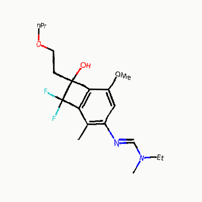 CCCOCCC1(O)c2c(OC)cc(/N=C/N(C)CC)c(C)c2C1(F)F